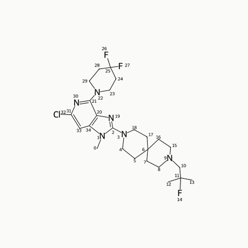 Cn1c(N2CCC3(CCN(CC(C)(C)F)CC3)CC2)nc2c(N3CCC(F)(F)CC3)nc(Cl)cc21